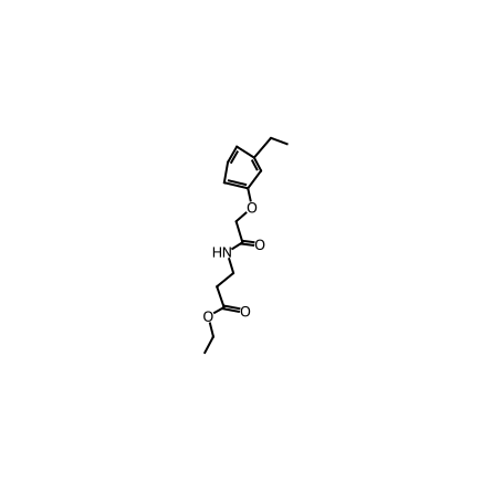 CCOC(=O)CCNC(=O)COc1cccc(CC)c1